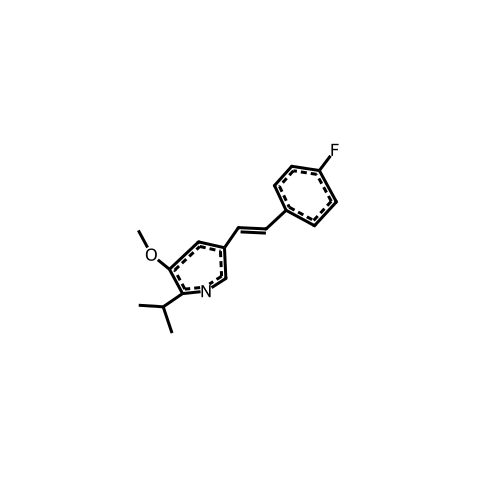 COc1cc(/C=C/c2ccc(F)cc2)cnc1C(C)C